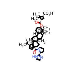 C=C(C)[C@@H]1CC[C@]2(C(=O)N3CCC[C@H]3c3ncc[nH]3)CC[C@]3(C)[C@H](CC[C@@H]4[C@@]5(C)CC[C@H](OC(=O)[C@H]6C[C@@H](C(=O)O)C6(C)C)C(C)(C)[C@@H]5CC[C@]43C)[C@@H]12